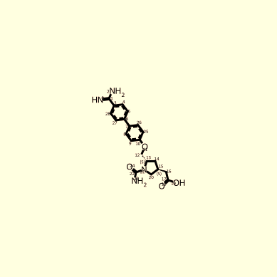 N=C(N)c1ccc(-c2ccc(OC[C@@H]3C[C@@H](CC(=O)O)CN3C(N)=O)cc2)cc1